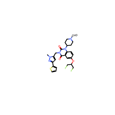 Cn1nc(-c2cccs2)cc1Cn1c(=O)c2cc(OC(CF)CF)ccc2n(C2CCN(C=O)CC2)c1=O